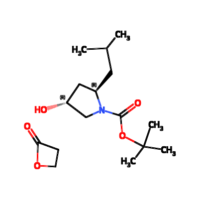 CC(C)C[C@@H]1C[C@@H](O)CN1C(=O)OC(C)(C)C.O=C1CCO1